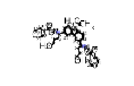 CC(C)n1c2ccc(/C(CCCO)=N/OC(=O)N3CCOCC3)cc2c2cc(/C(CCCO)=N/OC(=O)N3CCOCC3)ccc21